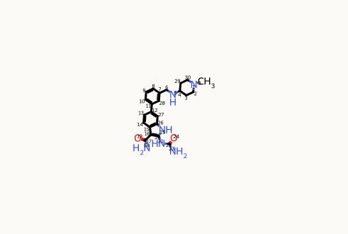 CN1CCC(NCc2cccc(-c3ccc4c(C(N)=O)c(NC(N)=O)[nH]c4c3)c2)CC1